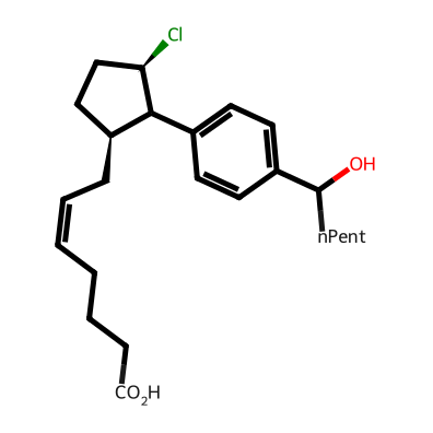 CCCCCC(O)c1ccc(C2[C@@H](C/C=C\CCCC(=O)O)CC[C@H]2Cl)cc1